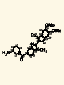 CCn1c(-c2nc3cc(C(=O)N4CCCC(N)C4)ccc3n2C)cc2cc(OC)c(OC)cc21